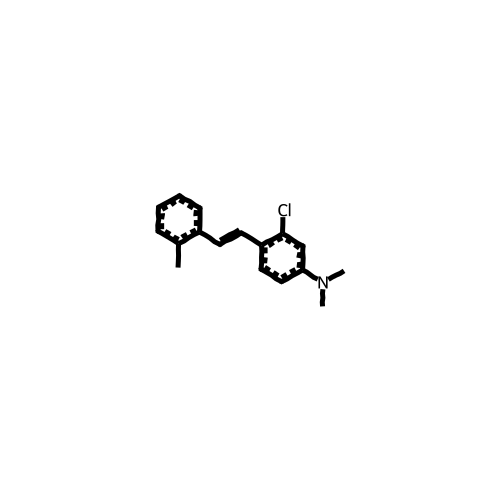 Cc1ccccc1C=Cc1ccc(N(C)C)cc1Cl